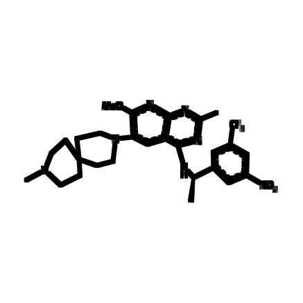 COc1nc2nc(C)nc(N[C@H](C)c3cc([N+](=O)[O-])cc(C(F)(F)F)c3)c2cc1N1CCC2(CCN(C)CC2)CC1